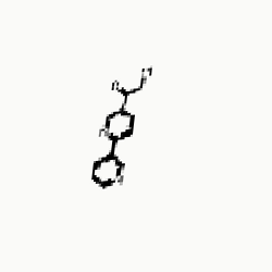 O=C(CCl)c1ccc(-c2cccnc2)nc1